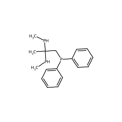 CPC(C)(CP(c1ccccc1)c1ccccc1)PC